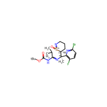 CC(C)(C)OC(=O)NC1=N[C@](C)(c2nc(Br)ccc2F)[C@@H]2CCCN=[S@]2(=O)C1(C)C